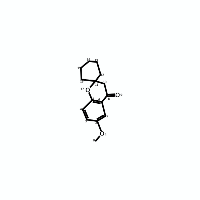 COc1ccc2c(c1)C(=O)CC1(CCCCC1)O2